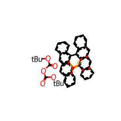 CC(C)(C)OC(=O)OC(=O)OC(C)(C)C.c1ccc(P(c2ccccc2)c2ccc3ccccc3c2-c2c(P(c3ccccc3)c3ccccc3)ccc3ccccc23)cc1